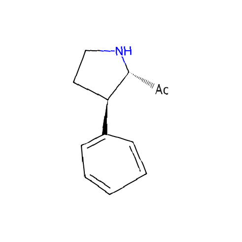 CC(=O)[C@H]1NCC[C@@H]1c1ccccc1